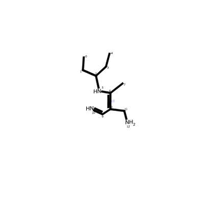 CCC(CC)N/C(C)=C(\C=N)CN